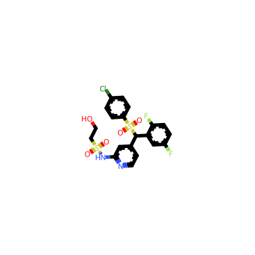 O=S(=O)(CCO)Nc1cc(C(c2cc(F)ccc2F)S(=O)(=O)c2ccc(Cl)cc2)ccn1